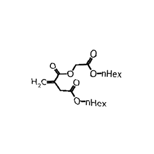 C=C(CC(=O)OCCCCCC)C(=O)OCC(=O)OCCCCCC